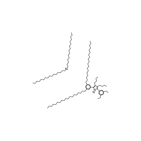 CCCCCCCCCCCCCCCCCCCc1cc(CCCCCCCCCCCCCCCCCCC)cc(C2=C(CCCC)C(CCCC)=C(c3cc(CC)cc(CC)c3)[N+]2=[N-])c1.CCCCCCCCCCCCCCC[CH2][Ni][CH2]CCCCCCCCCCCCCCC